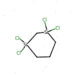 Cl[Si]1(Cl)CCC[Si](Cl)(Cl)C1